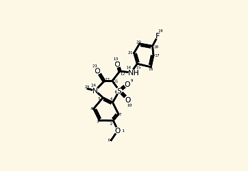 COc1ccc2c(c1)S(=O)(=O)C(C(=O)Nc1ccc(F)cc1)C(=O)N2C